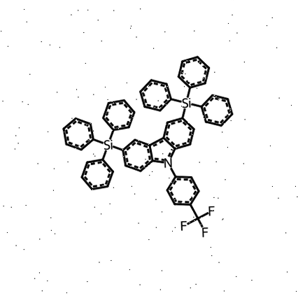 FC(F)(F)c1ccc(-n2c3ccc([Si](c4ccccc4)(c4ccccc4)c4ccccc4)cc3c3cc([Si](c4ccccc4)(c4ccccc4)c4ccccc4)ccc32)cc1